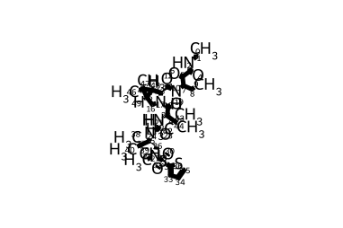 CCNC(=O)C(=O)C(CC)NC(=O)[C@@H]1[C@@H]2[C@H](CN1C(=O)[C@@H](NC(=O)N[C@H](CN(C)S(=O)(=O)c1cccs1)C(C)(C)C)C(C)(C)C)C2(C)C